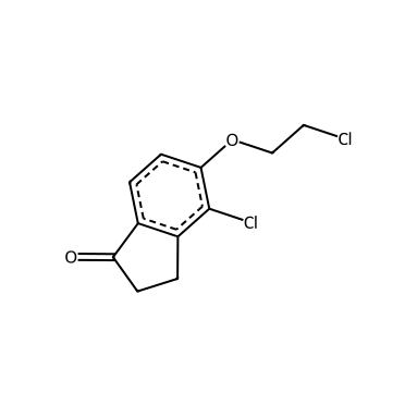 O=C1CCc2c1ccc(OCCCl)c2Cl